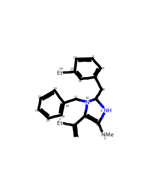 C=C(CC)C1=C(NC)NC(Cc2cccc(CC)c2)N1Cc1ccccc1